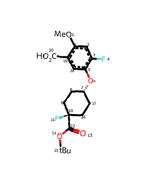 COc1cc(F)c(O[C@H]2CC[C@@](F)(C(=O)OC(C)(C)C)CC2)cc1C(=O)O